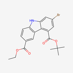 CCOC(=O)c1ccc2[nH]c3cc(Br)cc(C(=O)OC(C)(C)C)c3c2c1